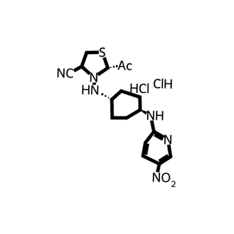 CC(=O)[C@H]1SCC(C#N)N1N[C@H]1CC[C@H](Nc2ccc([N+](=O)[O-])cn2)CC1.Cl.Cl